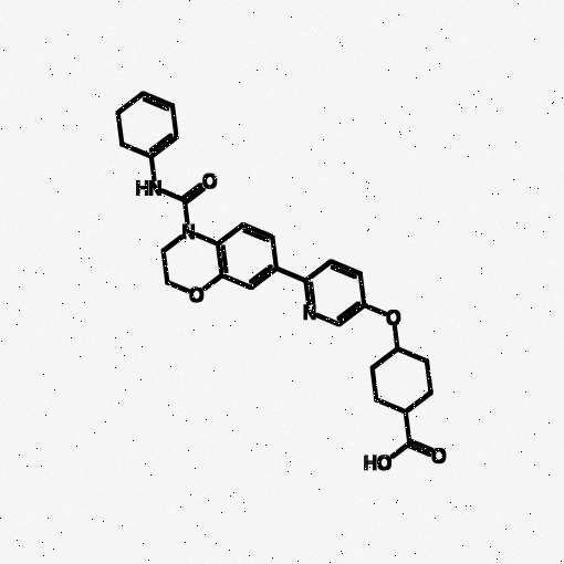 O=C(O)C1CCC(Oc2ccc(-c3ccc4c(c3)OCCN4C(=O)NC3=CC=CCC3)nc2)CC1